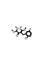 COC(OC)C(=O)C(Cc1cc(F)ccc1Cl)=C(SC)SC